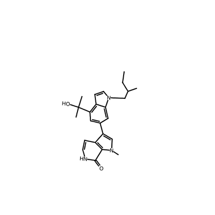 CCC(C)Cn1ccc2c(C(C)(C)O)cc(-c3cn(C)c4c(=O)[nH]ccc34)cc21